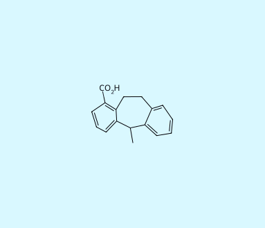 CC1c2ccccc2CCc2c(C(=O)O)cccc21